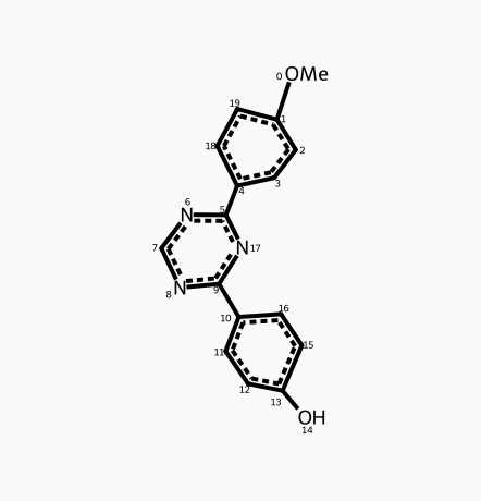 COc1ccc(-c2ncnc(-c3ccc(O)cc3)n2)cc1